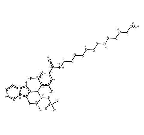 C[C@@H]1Cc2c([nH]c3ccccc23)C(c2c(F)cc(C(=O)NCCCCOCCOCCOCC(=O)O)cc2F)N1CC(C)(C)F